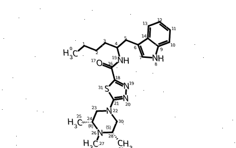 CCCCC(Cc1c[nH]c2ccccc12)NC(=O)c1nnc(N2C[C@@H](C)N(C)[C@@H](C)C2)s1